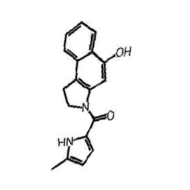 Cc1ccc(C(=O)N2CCc3c2cc(O)c2ccccc32)[nH]1